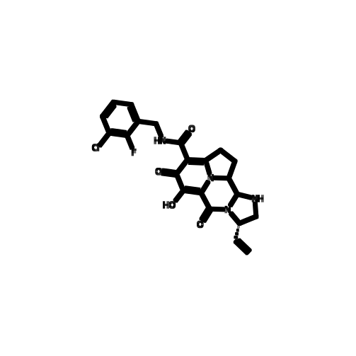 C=C[C@H]1CNC2C3CCc4c(C(=O)NCc5cccc(Cl)c5F)c(=O)c(O)c(n43)C(=O)N21